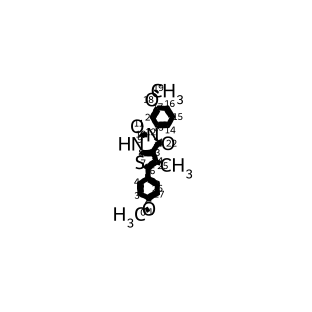 COc1ccc(-c2sc3[nH]c(=O)n(-c4cccc(OC)c4)c(=O)c3c2C)cc1